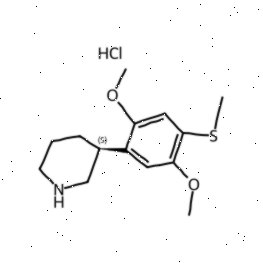 COc1cc([C@@H]2CCCNC2)c(OC)cc1SC.Cl